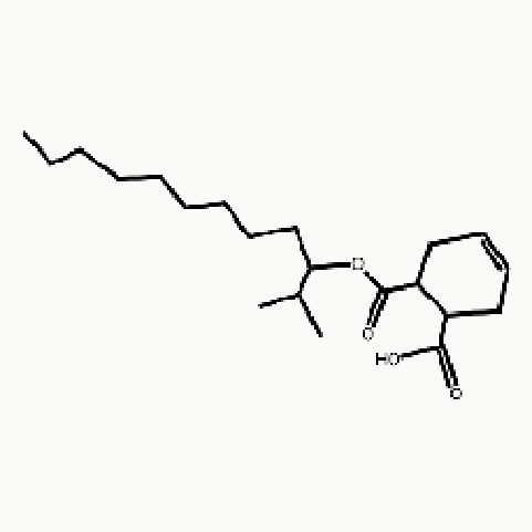 CCCCCCCCCC(OC(=O)C1CC=CCC1C(=O)O)C(C)C